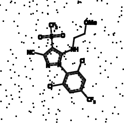 COCCNc1c(S(=O)(=O)C(F)(F)F)c(C#N)nn1-c1c(Cl)cc(C(F)(F)F)cc1Cl